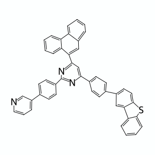 c1cncc(-c2ccc(-c3nc(-c4ccc(-c5ccc6sc7ccccc7c6c5)cc4)cc(-c4cc5ccccc5c5ccccc45)n3)cc2)c1